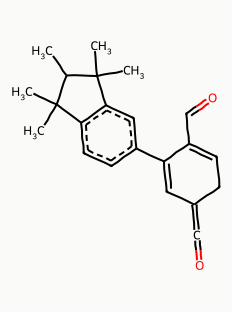 CC1C(C)(C)c2ccc(C3=CC(=C=O)CC=C3C=O)cc2C1(C)C